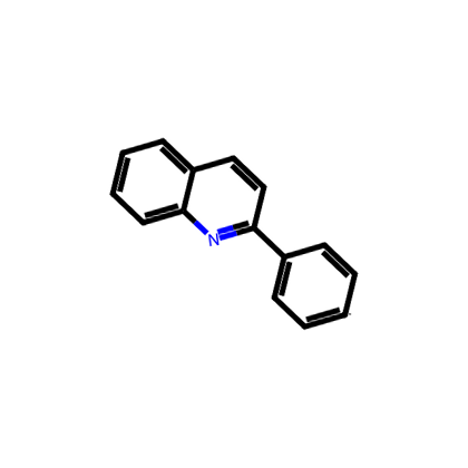 [c]1ccc(-c2ccc3ccccc3n2)cc1